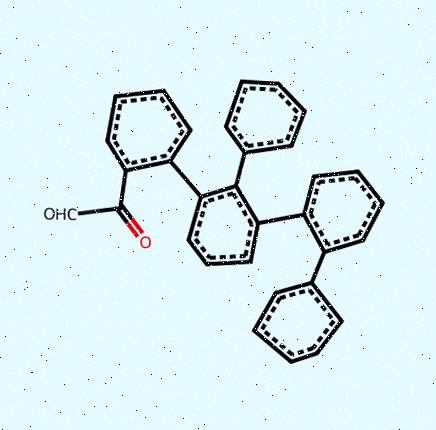 O=CC(=O)c1ccccc1-c1cccc(-c2ccccc2-c2ccccc2)c1-c1ccccc1